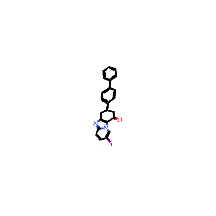 O=C1CC(c2ccc(-c3ccccc3)cc2)Cc2nc3ccc(I)cn3c21